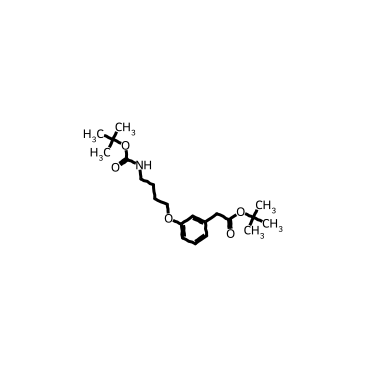 CC(C)(C)OC(=O)Cc1cccc(OCCCCNC(=O)OC(C)(C)C)c1